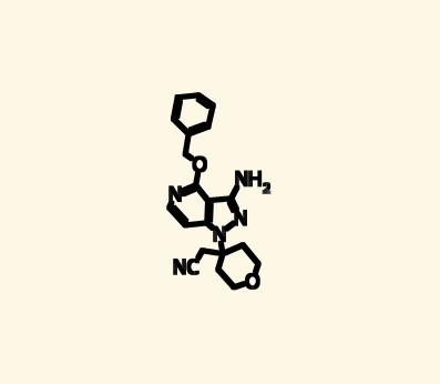 N#CCC1(n2nc(N)c3c(OCc4ccccc4)nccc32)CCOCC1